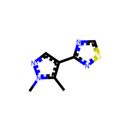 Cc1c(-c2ncsn2)cnn1C